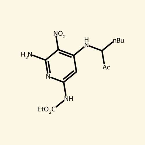 CCCCC(Nc1cc(NC(=O)OCC)nc(N)c1[N+](=O)[O-])C(C)=O